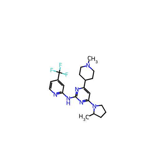 CC1CCCN1c1cc(C2CCN(C)CC2)nc(Nc2cc(C(F)(F)F)ccn2)n1